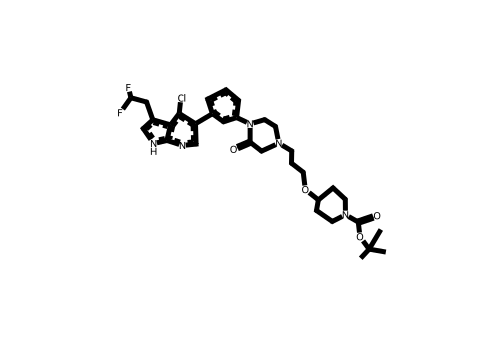 CC(C)(C)OC(=O)N1CCC(OCCCN2CCN(c3cccc(-c4cnc5[nH]cc(CC(F)F)c5c4Cl)c3)C(=O)C2)CC1